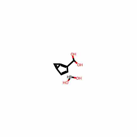 OBO.OC(O)c1ccc2cc1-2